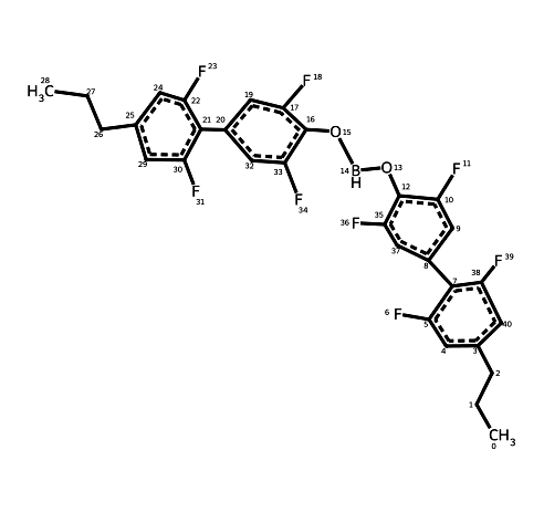 CCCc1cc(F)c(-c2cc(F)c(OBOc3c(F)cc(-c4c(F)cc(CCC)cc4F)cc3F)c(F)c2)c(F)c1